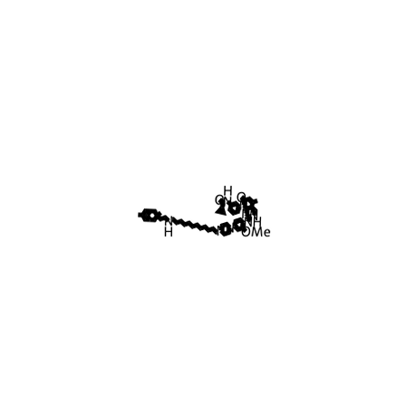 COc1cc(N2CCN(CCCCCCCCCCCCNCCC3(C)CC4CC(C)CC(C4)C3)CC2)ccc1Nc1ncc2c(C)cc(=O)n(-c3cccc(NC(=O)C4CC4)c3)c2n1